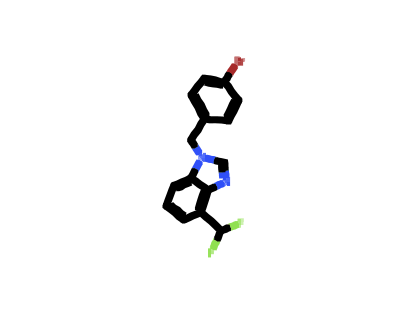 FC(F)c1cccc2c1ncn2Cc1ccc(Br)cc1